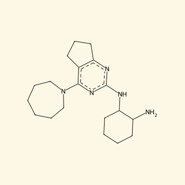 NC1CCCCC1Nc1nc2c(c(N3CCCCCC3)n1)CCC2